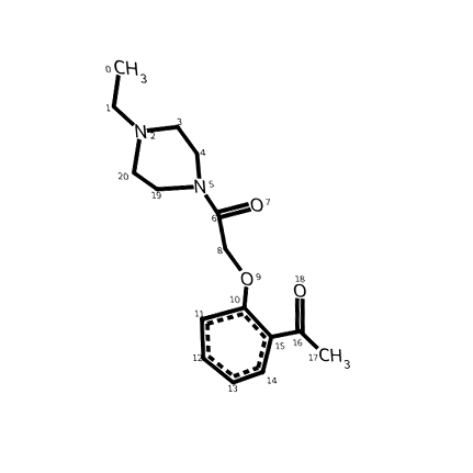 CCN1CCN(C(=O)COc2ccccc2C(C)=O)CC1